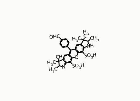 CC1N=c2c(cc3c(c2S(=O)(=O)O)Oc2c(cc4c(c2S(=O)(=O)O)NC(C)C4(C)C)C=3c2ccc(C=O)cc2)C1(C)C